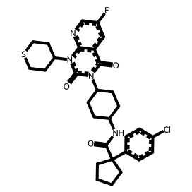 O=C(NC1CCC(n2c(=O)c3cc(F)cnc3n(C3CCSCC3)c2=O)CC1)C1(c2ccc(Cl)cc2)CCCC1